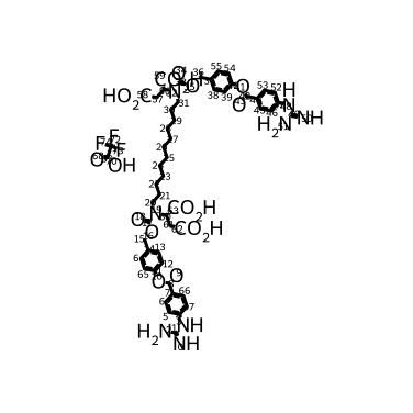 N=C(N)Nc1ccc(C(=O)Oc2ccc(COC(=O)N(CCCCCCCCCCCCN(C(=O)OCc3ccc(OC(=O)c4ccc(NC(=N)N)cc4)cc3)C(CC(=O)O)C(=O)O)C(CC(=O)O)C(=O)O)cc2)cc1.O=C(O)C(F)(F)F